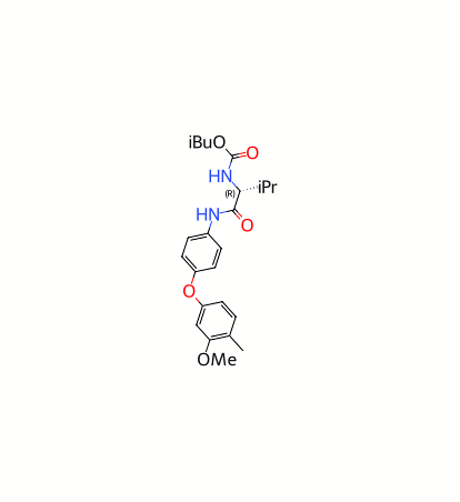 COc1cc(Oc2ccc(NC(=O)[C@H](NC(=O)OCC(C)C)C(C)C)cc2)ccc1C